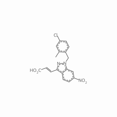 Cc1cc(Cl)ccc1Cn1nc(/C=C/C(=O)O)c2ccc([N+](=O)[O-])cc21